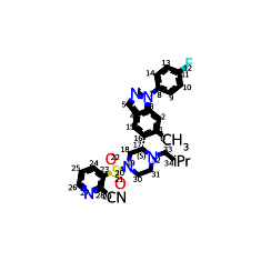 Cc1cc2c(cnn2-c2ccc(F)cc2)cc1[C@H]1CN(S(=O)(=O)c2cccnc2C#N)CCN1CC(C)C